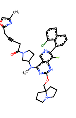 Cc1coc(CC#CCC(=O)N2CCC(N(C)c3nc(OCC45CCCN4CCC5)nc4c(F)c(-c5cccc6cccc(Cl)c56)ncc34)C2)n1